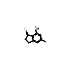 Cc1cc(O)c2c(c1)CCC2=O